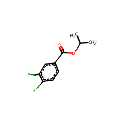 [CH2]C(C)OC(=O)c1ccc(F)c(F)c1